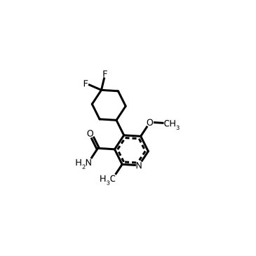 COc1cnc(C)c(C(N)=O)c1C1CCC(F)(F)CC1